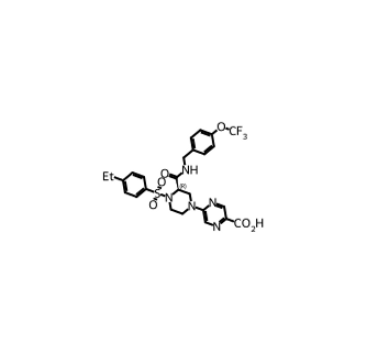 CCc1ccc(S(=O)(=O)N2CCN(c3cnc(C(=O)O)cn3)C[C@@H]2C(=O)NCc2ccc(OC(F)(F)F)cc2)cc1